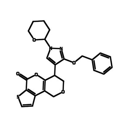 O=c1oc2c(c3ccsc13)COCC2c1cn(C2CCCCO2)nc1OCc1ccccc1